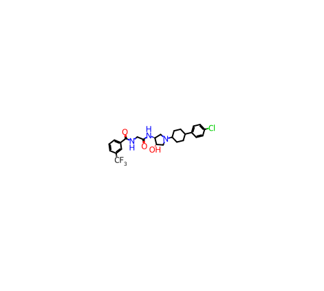 O=C(CNC(=O)c1cccc(C(F)(F)F)c1)N[C@H]1CN(C2CCC(c3ccc(Cl)cc3)CC2)C[C@@H]1O